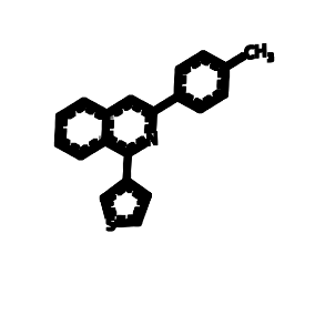 Cc1ccc(-c2cc3ccccc3c(-c3ccsc3)n2)cc1